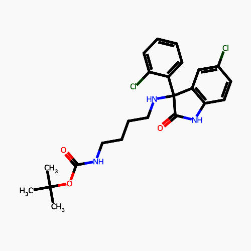 CC(C)(C)OC(=O)NCCCCNC1(c2ccccc2Cl)C(=O)Nc2ccc(Cl)cc21